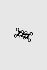 O=C1OP2(F)(OC1=O)OC(=O)C(=O)O2